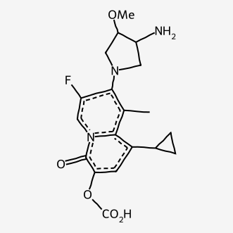 COC1CN(c2c(F)cn3c(=O)c(OC(=O)O)cc(C4CC4)c3c2C)CC1N